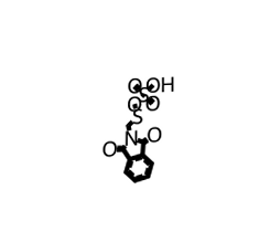 O=C1c2ccccc2C(=O)N1CSOS(=O)(=O)O